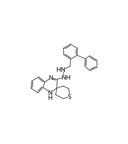 c1ccc(-c2ccccc2CNNC2=Nc3ccccc3NC23CCSCC3)cc1